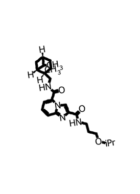 CC(C)OCCCNC(=O)c1cn2c(C(=O)NC[C@@H]3CC[C@H]4C[C@@H]3C4(C)C)cccc2n1